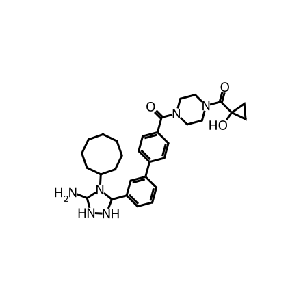 NC1NNC(c2cccc(-c3ccc(C(=O)N4CCN(C(=O)C5(O)CC5)CC4)cc3)c2)N1C1CCCCCCC1